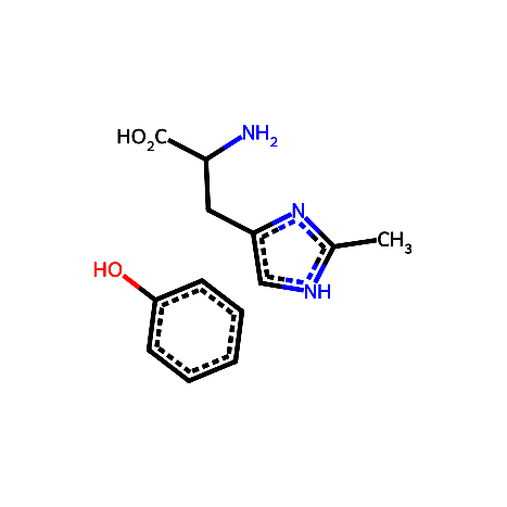 Cc1nc(CC(N)C(=O)O)c[nH]1.Oc1ccccc1